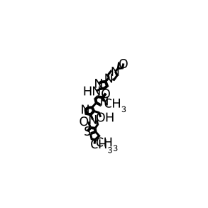 Cn1cc(-c2cncc(N3CCc4c(sc5c4CC(C)(C)C5)C3=O)c2CO)cc(Nc2ccc(N3CCN(C4COC4)CC3)cn2)c1=O